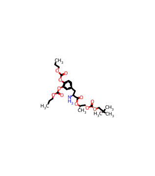 CCCOC(=O)Oc1ccc(C[C@H](N)C(=O)O[C@@H](C)COC(=O)OCC(C)(C)C)cc1OC(=O)OCCC